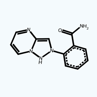 NC(=O)c1ccccc1N1C=C2N=CC=CN2N1